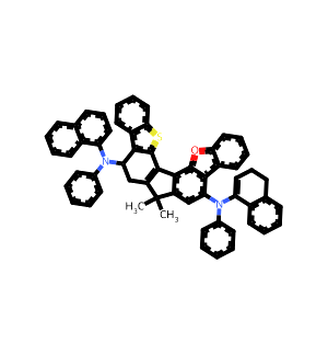 CC1(C)C2=C(c3sc4ccccc4c3C(N(c3ccccc3)c3cccc4ccccc34)C2)c2c1cc(N(C1=CCCc3ccccc31)c1ccccc1)c1c2oc2ccccc21